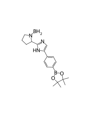 BN1CCCC1c1ncc(-c2ccc(B3OC(C)(C)C(C)(C)O3)cc2)[nH]1